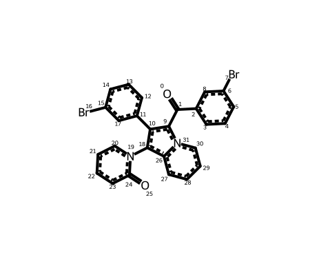 O=C(c1cccc(Br)c1)c1c(-c2cccc(Br)c2)c(-n2ccccc2=O)c2ccccn12